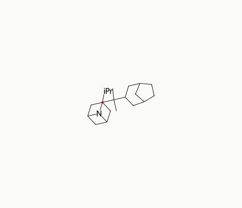 CC(C)C1CC2CC(C1)N2CC(C)(C)C1CC2CCC(C2)C1